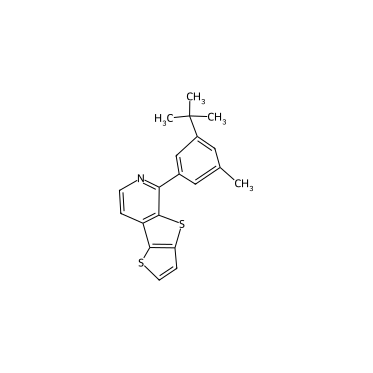 Cc1cc(-c2nccc3c2sc2ccsc23)cc(C(C)(C)C)c1